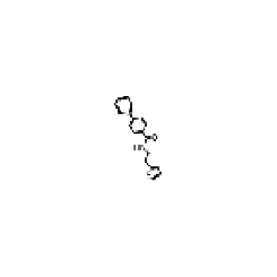 O=C(NCCc1cccs1)c1ccc(-c2ccccc2)cc1